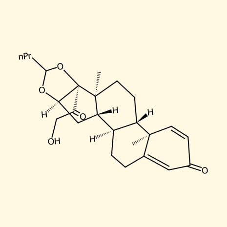 CCCC1O[C@@H]2C[C@H]3[C@@H]4CCC5=CC(=O)C=C[C@]5(C)[C@H]4CC[C@]3(C)[C@]2(C(=O)CO)O1